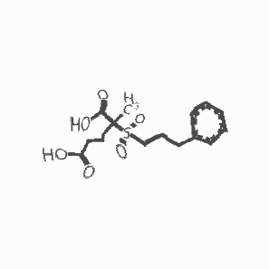 CC(CCC(=O)O)(C(=O)O)S(=O)(=O)CCCc1ccccc1